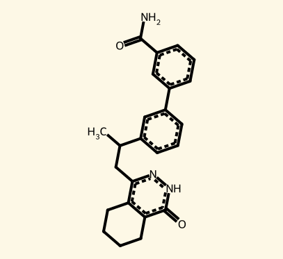 CC(Cc1n[nH]c(=O)c2c1CCCC2)c1cccc(-c2cccc(C(N)=O)c2)c1